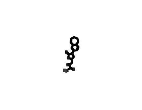 CC(=O)NCC1CN(c2ccc3c(c2)C=CCCC3)C(=O)O1